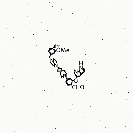 COc1cc(CN2CCN(C3CC4(CCN(c5ccc(C=O)c(Oc6cnc7[nH]ccc7c6)c5)CC4)C3)CC2)ccc1C(C)C